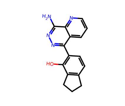 Nc1nnc(-c2ccc3c(c2O)CCC3)c2cccnc12